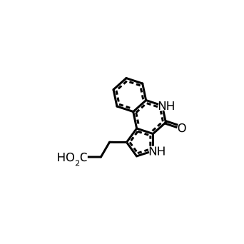 O=C(O)CCc1c[nH]c2c(=O)[nH]c3ccccc3c12